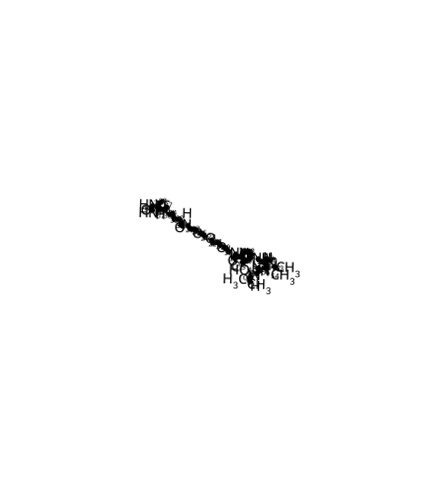 CC(C)[C@@H](CO)Nc1nc(Nc2ccc(C(=O)NCCOCCOCCOCCNC(=O)CCCC[C@@H]3SCC4NC(=O)N[C@@H]43)c(Cl)c2)c2ncn(C(C)C)c2n1